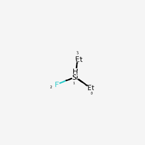 CC[SiH](F)CC